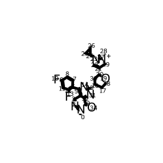 Cn1ncc2c(-c3ccc(F)cc3F)nc([C@H]3CCO[C@@H](c4cn(C5CC5)[n+](C)c4)C3)nc2c1=O